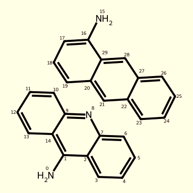 Nc1c2ccccc2nc2ccccc12.Nc1cccc2cc3ccccc3cc12